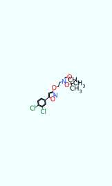 CC(C)(C)ON(C=O)CCOc1cc(-c2ccc(Cl)c(Cl)c2)on1